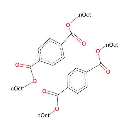 CCCCCCCCOC(=O)c1ccc(C(=O)OCCCCCCCC)cc1.CCCCCCCCOC(=O)c1ccc(C(=O)OCCCCCCCC)cc1